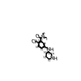 CN(C)C(=O)c1cc(N[C@H]2CCCNC2)ccc1Cl